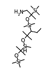 CCC(C(C)(C)O[SiH](C)C(C)(C)O[Si](C)(C)C)[Si](C)(C)OC(C)(CN)[Si](C)(C)C